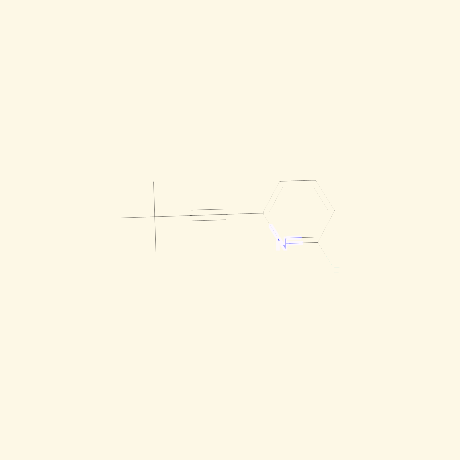 CC(C)(C)C#Cc1cccc(F)n1